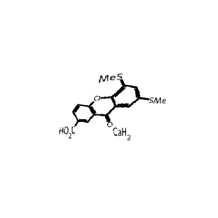 CSc1cc(SC)c2oc3ccc(C(=O)O)cc3c(=O)c2c1.[CaH2]